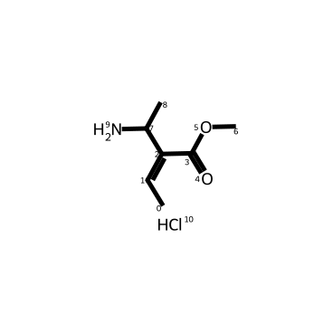 CC=C(C(=O)OC)C(C)N.Cl